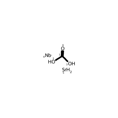 O=C(O)O.[Nb].[SrH2]